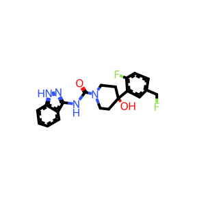 O=C(Nc1n[nH]c2ccccc12)N1CCC(O)(c2cc(CF)ccc2F)CC1